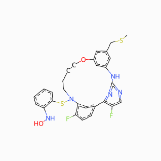 CSCc1cc2cc(c1)OCCCCN(Sc1ccccc1NO)c1cc(ccc1F)-c1nc(ncc1F)N2